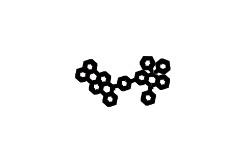 c1ccc(-c2ccc(-c3ccccc3N(c3ccc(-c4ccccc4)cc3)c3ccc(-c4ccc5c(c4)N(c4ccccc4)c4ccccc4[Si]5(c4ccccc4)c4ccccc4)cc3)cc2)cc1